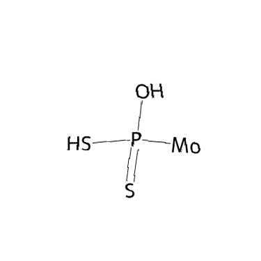 O[P](=S)(S)[Mo]